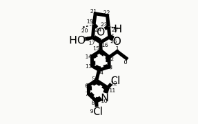 CCc1cc(-c2ccc(Cl)nc2Cl)ccc1C1=C(O)[C@@]2(C)CC[C@H](O2)C1=O